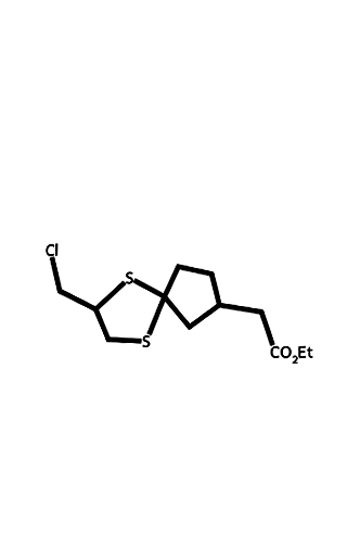 CCOC(=O)CC1CCC2(C1)SCC(CCl)S2